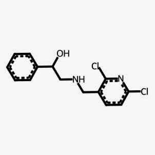 OC(CNCc1ccc(Cl)nc1Cl)c1ccccc1